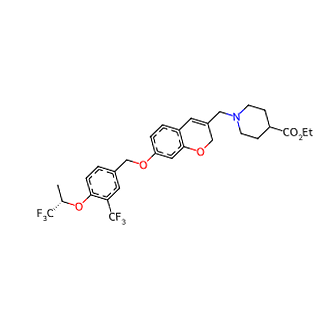 CCOC(=O)C1CCN(CC2=Cc3ccc(OCc4ccc(O[C@@H](C)C(F)(F)F)c(C(F)(F)F)c4)cc3OC2)CC1